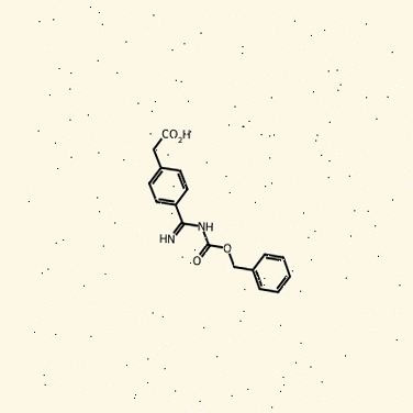 N=C(NC(=O)OCc1ccccc1)c1ccc(CC(=O)O)cc1